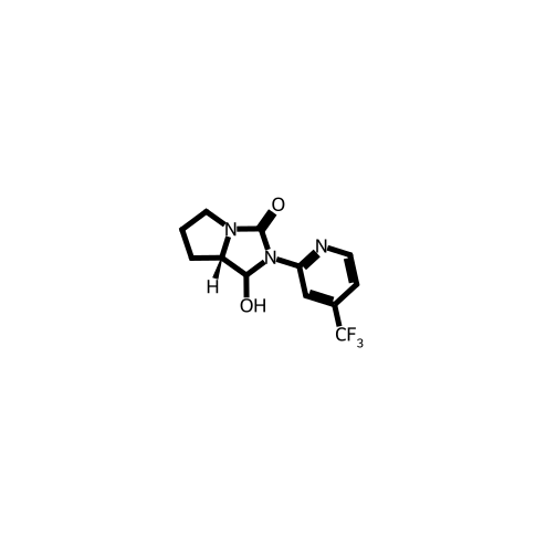 O=C1N(c2cc(C(F)(F)F)ccn2)C(O)[C@@H]2CCCN12